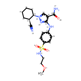 COCCNS(=O)(=O)c1ccc(Nc2nn([C@@H]3CCCC[C@@H]3C#N)cc2C(N)=O)cc1